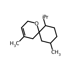 CC1=CCOC2(C1)CC(C)CCC2C(C)C